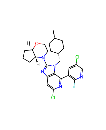 C[C@H]1CC[C@H](Cn2c(N3CCO[C@@H]4CCC[C@H]43)nc3cc(Cl)nc(-c4cc(Cl)cnc4F)c32)CC1